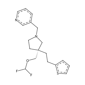 FC(F)OC[C@]1(CCc2cccs2)CCN(Cc2cccnc2)C1